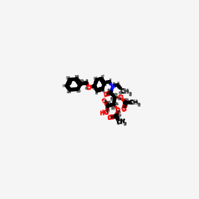 CCN(Cc1ccc(OCc2ccccc2)cc1)C(=O)[C@H](OC(C)=O)[C@@H](OC(C)=O)C(=O)O